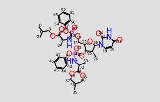 CC(C)COC(=O)[C@H](C)NP(=O)(OC[C@H]1O[C@@H](n2ccc(=O)[nH]c2=O)[C@@H](C)[C@@H]1OP(=O)(N[C@@H](C)C(=O)OCC(C)C)Oc1ccccc1)Oc1ccccc1